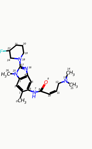 Cc1cc2c(cc1NC(=O)/C=C\CN(C)C)nc(N1CCCC(F)C1)n2C